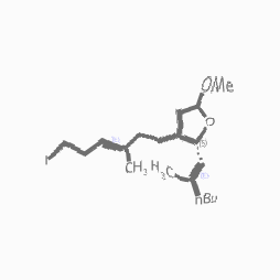 CCCC/C(C)=C/[C@H]1OC(OC)CC1CC/C(C)=C/CCI